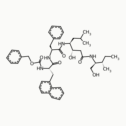 CC[C@H](C)[C@@H](CO)NC(=O)C[C@H](O)[C@H](CC(C)C)NC(=O)[C@H](Cc1ccccc1)NC(=O)[C@H](Cc1cccc2ccccc12)NC(=O)OCc1ccccc1